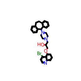 OC(COc1cccc2nccc(Br)c12)CN1CCN(C2c3ccccc3CCc3ccccc32)CC1